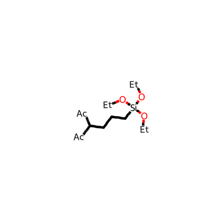 CCO[Si](CCCC(C(C)=O)C(C)=O)(OCC)OCC